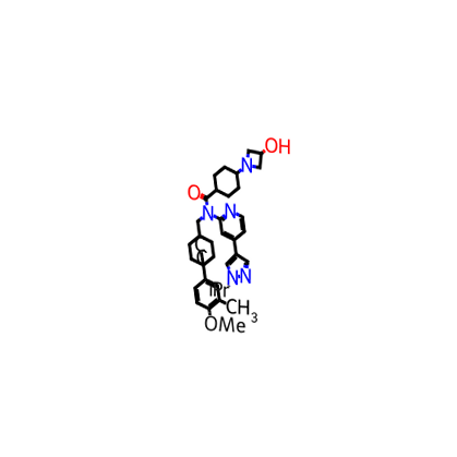 COc1ccc(C23CCC(CN(C(=O)C4CCC(N5CC(O)C5)CC4)c4cc(-c5cnn(C(C)C)c5)ccn4)(CC2)CC3)cc1C